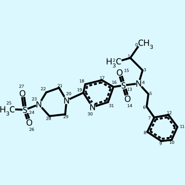 CC(C)CN(CCc1ccccc1)S(=O)(=O)c1ccc(N2CCN(S(C)(=O)=O)CC2)nc1